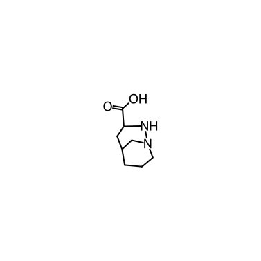 O=C(O)C1CC2CCCN(C2)N1